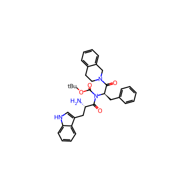 CC(C)(C)OC(=O)N(C(=O)[C@@H](N)Cc1c[nH]c2ccccc12)[C@H](Cc1ccccc1)C(=O)N1CCc2ccccc2C1